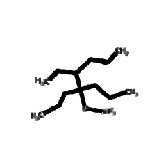 CCCC(CC)C(CCC)(CCC)O[SiH3]